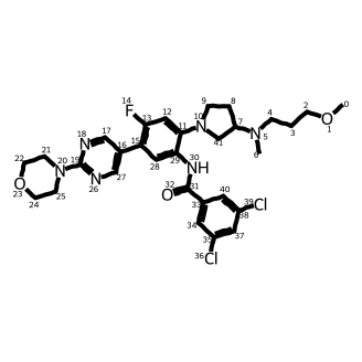 COCCCN(C)C1CCN(c2cc(F)c(-c3cnc(N4CCOCC4)nc3)cc2NC(=O)c2cc(Cl)cc(Cl)c2)C1